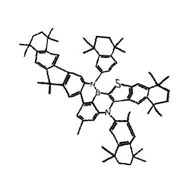 Cc1cc2c3c(c1)N(c1cc4c(cc1C)C(C)(C)CCC4(C)C)c1c(sc4cc5c(cc14)C(C)(C)CCC5(C)C)B3N(c1ccc3c(c1)C(C)(C)CCC3(C)C)c1cc3c(cc1-2)C(C)(C)c1cc2c(cc1-3)C(C)(C)CCC2(C)C